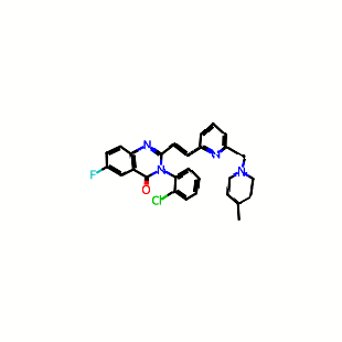 CC1CCN(Cc2cccc(C=Cc3nc4ccc(F)cc4c(=O)n3-c3ccccc3Cl)n2)CC1